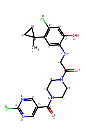 CC1(c2cc(NCC(=O)N3CCN(C(=O)c4cnc(Cl)nc4)CC3)c(O)cc2Cl)CC1